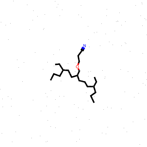 CCCC(CC)CCCC(CCC(CC)CCC)COCCC#N